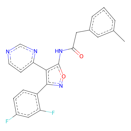 Cc1cccc(CC(=O)Nc2onc(-c3ccc(F)cc3F)c2-c2ccncn2)c1